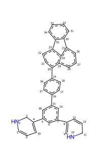 C1=CNCC(c2cc(C3=CNCC=C3)cc(-c3ccc(-c4ccc5c6c(cccc46)-c4ccccc4-5)cc3)c2)=C1